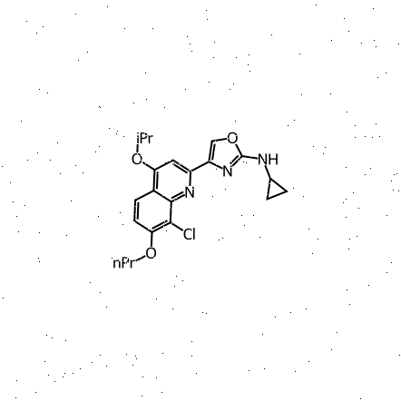 CCCOc1ccc2c(OC(C)C)cc(-c3coc(NC4CC4)n3)nc2c1Cl